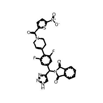 O=C(c1ccc([N+](=O)[O-])s1)N1CC=C(c2c(F)cc(C(c3c[nH]nn3)N3C(=O)c4ccccc4C3=O)cc2F)CC1